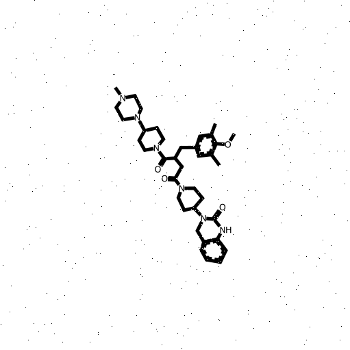 COc1c(C)cc(CC(CC(=O)N2CCC(N3Cc4ccccc4NC3=O)CC2)C(=O)N2CCC(N3CCN(C)CC3)CC2)cc1C